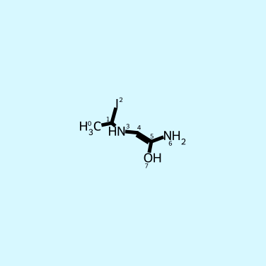 CC(I)N/C=C(/N)O